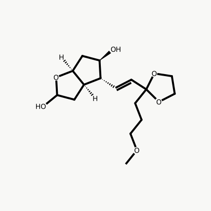 COCCCC1(/C=C/[C@@H]2[C@H]3CC(O)O[C@H]3C[C@H]2O)OCCO1